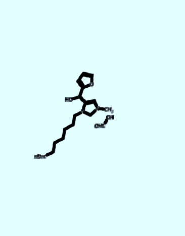 CCCCCCCCCCCCCCCCN1CN(C)C=C1C(O)c1ccco1.O=CO